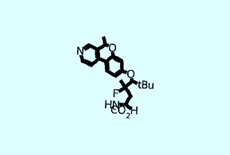 CC(CC(C)(F)C(Oc1ccc2c(c1)OC(C)c1cnccc1-2)C(C)(C)C)NC(=O)O